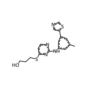 Cc1cc(Nc2nccc(SCCCO)n2)cc(-c2cn[c]s2)c1